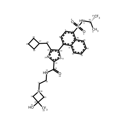 C[C@H](NS(=O)(=O)c1ccc(-c2sc(C(=O)NCCN3CC(O)(C(F)(F)F)C3)nc2CC2CCC2)c2ccccc12)C(F)(F)F